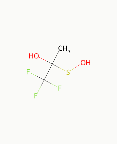 CC(O)(SO)C(F)(F)F